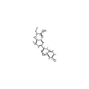 CCC(Oc1ccc(/C(Cc2ccc(Cl)cc2)=N/O)cc1C)C(=O)O